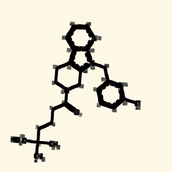 CC(C)(CCCC(=O)N1CCc2c(n(Cc3cccc(Cl)n3)c3ncccc23)C1)C(=O)O